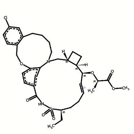 CC[C@@H]1CC/C=C/[C@H](O[C@H](C)C(=O)OC)[C@@H]2CC[C@H]2CN2CCCCc3cc(Cl)ccc3COc3ccc(cc32)C(=O)NS1(=O)=O